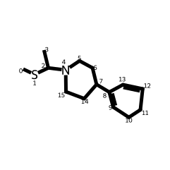 CSC(C)N1CCC(C2=CCCC=C2)CC1